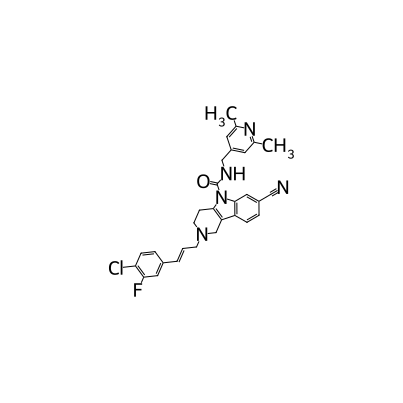 Cc1cc(CNC(=O)n2c3c(c4ccc(C#N)cc42)CN(CC=Cc2ccc(Cl)c(F)c2)CC3)cc(C)n1